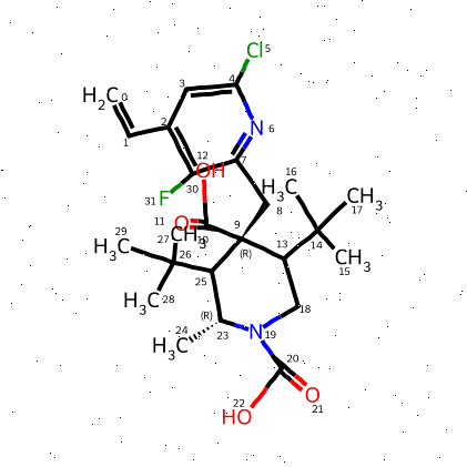 C=Cc1cc(Cl)nc(C[C@@]2(C(=O)O)C(C(C)(C)C)CN(C(=O)O)[C@H](C)C2C(C)(C)C)c1F